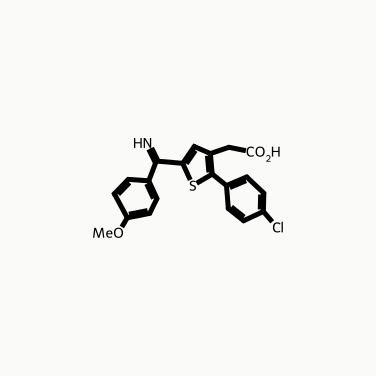 COc1ccc(C(=N)c2cc(CC(=O)O)c(-c3ccc(Cl)cc3)s2)cc1